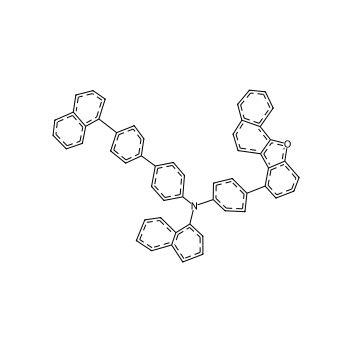 c1ccc2c(-c3ccc(-c4ccc(N(c5ccc(-c6cccc7oc8c9ccccc9ccc8c67)cc5)c5cccc6ccccc56)cc4)cc3)cccc2c1